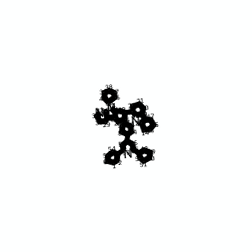 c1ccc(-c2cc(-c3cccc(-n4c5ccccc5c5cccc(-c6ccc7c8cccnc8n(-c8ccccc8)c7c6)c54)c3)cc(-c3ccccc3)n2)cc1